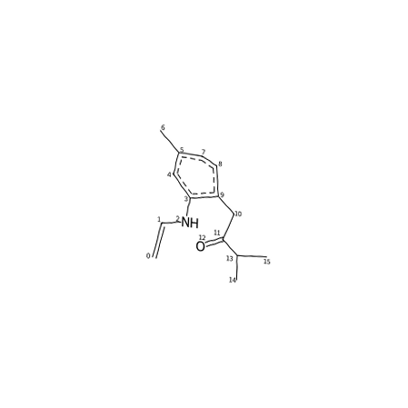 C=CNc1cc(C)ccc1CC(=O)C(C)C